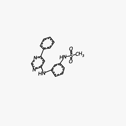 CS(=O)(=O)Nc1cccc(Nc2cc(-c3ccccc3)ncn2)c1